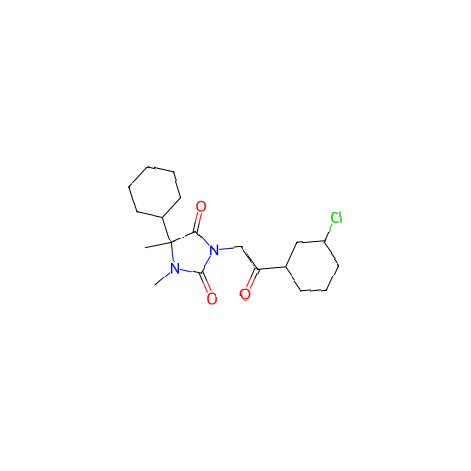 CN1C(=O)N(CC(=O)C2CCCC(Cl)C2)C(=O)C1(C)C1CCCCC1